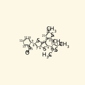 Cc1cc(-c2sc3cc(-c4ccccc4P=O)sc3c2-c2cc(C)sc2C)c(C)s1